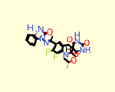 C/C(=N\N(C(N)=O)c1ccccc1)c1cc2c(c(F)c1F)N1C[C@@H](C)O[C@@H](C)[C@@H]1C1(C2)C(=O)NC(=O)NC1=O